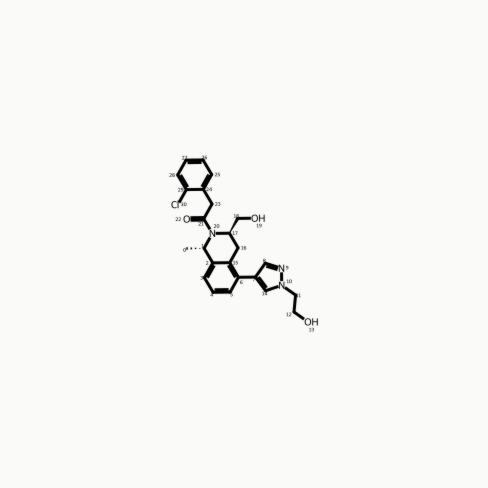 C[C@H]1c2cccc(-c3cnn(CCO)c3)c2C[C@H](CO)N1C(=O)Cc1ccccc1Cl